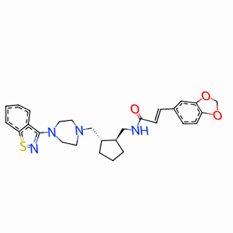 O=C(/C=C/c1ccc2c(c1)OCO2)NC[C@H]1CCC[C@@H]1CN1CCN(c2nsc3ccccc23)CC1